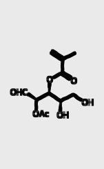 C=C(C)C(=O)O[C@@H]([C@H](O)CO)[C@H](C=O)OC(C)=O